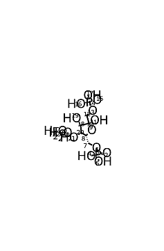 O.O.O=P(O)(O)OC[C@H]1O[C@](O)(COP(=O)(O)O)[C@@H](O)[C@@H]1O.[Fe]